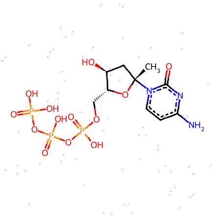 C[C@]1(n2ccc(N)nc2=O)C[C@H](O)[C@@H](COP(=O)(O)OP(=O)(O)OP(=O)(O)O)O1